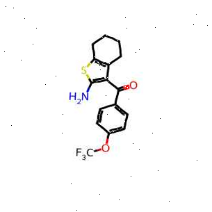 Nc1sc2c(c1C(=O)c1ccc(OC(F)(F)F)cc1)CCCC2